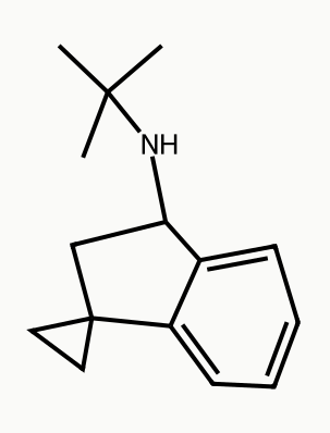 CC(C)(C)NC1CC2(CC2)c2ccccc21